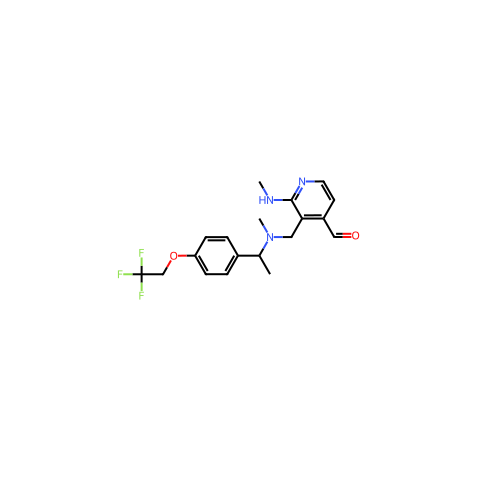 CNc1nccc(C=O)c1CN(C)C(C)c1ccc(OCC(F)(F)F)cc1